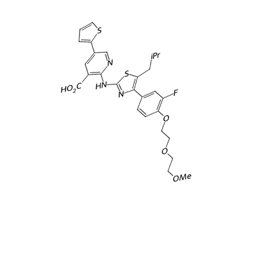 COCCOCCOc1ccc(-c2nc(Nc3ncc(-c4cccs4)cc3C(=O)O)sc2CC(C)C)cc1F